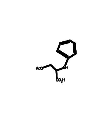 CC(=O)OCC(Nc1ccccc1)C(=O)O